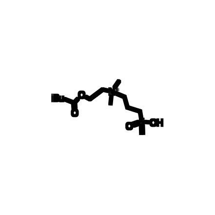 C=S(=O)(O)CCC[N+](C)(C)CCOC(=O)C(C)CC